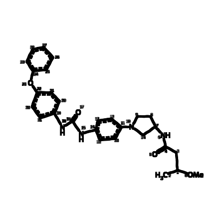 COC(C)CC(=O)NC1CCN(c2ccc(NC(=O)Nc3ccc(Oc4ccccc4)cc3)cc2)C1